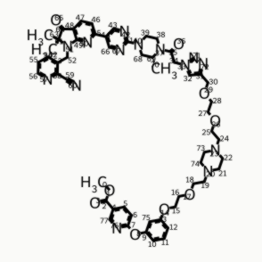 COC(=O)c1ccc(Oc2cccc(OCCOCCN3CCN(CCOCCOCc4cn(CC(=O)N5CCN(c6ncc(-c7ccc8c(n7)N(Cc7cccnc7C#N)C(C)(C)C8=O)cn6)C[C@H]5C)nn4)CC3)c2)nc1